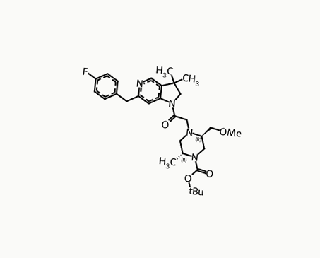 COC[C@H]1CN(C(=O)OC(C)(C)C)[C@H](C)CN1CC(=O)N1CC(C)(C)c2cnc(Cc3ccc(F)cc3)cc21